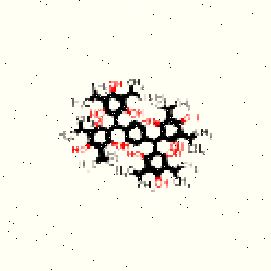 CC(C)c1c(O)c(C(C)C)c(O)c(C(c2ccc(C(c3c(O)c(C(C)C)c(O)c(C(C)C)c3O)c3c(O)c(C(C)C)c(O)c(C(C)C)c3O)cc2)c2c(O)c(C(C)C)c(O)c(C(C)C)c2O)c1O